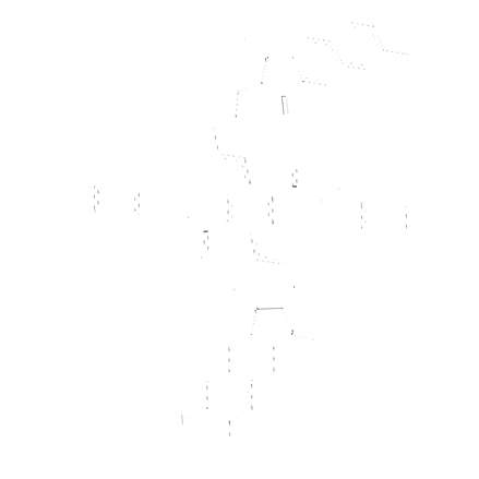 O=C1C(=Cc2cc3c(C(=O)OCc4ccccc4)c4sc5cc(C=C6C(=O)c7cc8cc(F)c(F)cc8cc7C6=O)sc5c4c(C(=O)OCc4ccccc4)c3s2)C(=O)c2cc3cc(F)c(F)cc3cc21